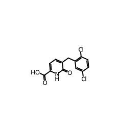 O=C(O)c1ccc(Cc2cc(Cl)ccc2Cl)c(=O)[nH]1